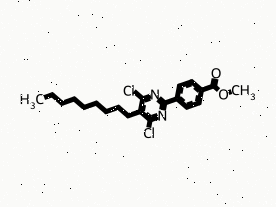 CCCCCCCCCc1c(Cl)nc(-c2ccc(C(=O)OC)cc2)nc1Cl